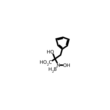 BN(O)C(O)(Cc1ccccc1)C(=O)O